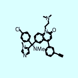 C#Cc1cccc(-c2cc(=O)n(CCN(C)C)c3ccc([C@](NC)(c4ccc(Cl)cc4)c4cncn4C)cc23)c1